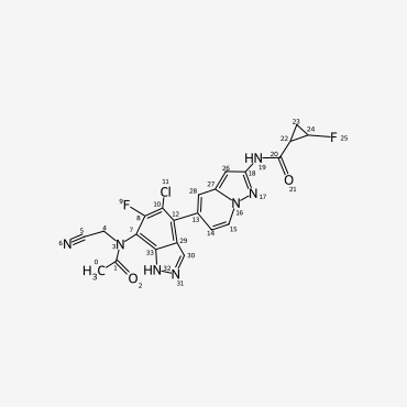 CC(=O)N(CC#N)c1c(F)c(Cl)c(-c2ccn3nc(NC(=O)C4CC4F)cc3c2)c2cn[nH]c12